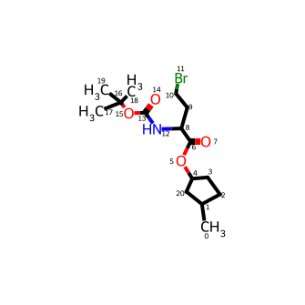 CC1CCC(OC(=O)C(CCBr)NC(=O)OC(C)(C)C)C1